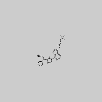 C[Si](C)(C)CCOCn1ccc2c(-c3cnc(C(=CC#N)C4CCCC4)s3)ncnc21